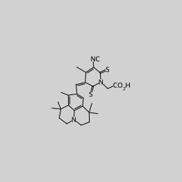 [C-]#[N+]C1=C(C)/C(=C/c2cc3c4c(c2C)C(C)(C)CCN4CCC3(C)C)C(=S)N(CC(=O)O)C1=S